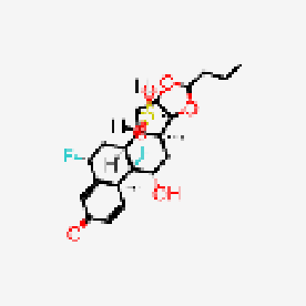 CCCC1O[C@@H]2C[C@H]3[C@@H]4C[C@H](F)C5=CC(=O)C=C[C@]5(C)[C@@]4(F)[C@@H](O)C[C@]3(C)[C@]2(S(C)(=O)=O)O1